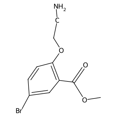 COC(=O)c1cc(Br)ccc1OCCN